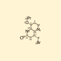 CC(C)Oc1ccnc2c(CBr)cc(Cl)nc12